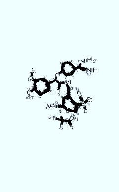 CCOc1cc(C(Oc2ccc(C(=N)N)cc2)C(=O)NCc2cc(NC(C)=O)ccc2S(=O)(=O)CC)ccc1OC(C)C.O=C(O)C(F)(F)F